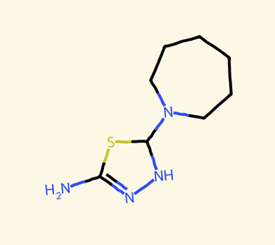 NC1=NNC(N2CCCCCC2)S1